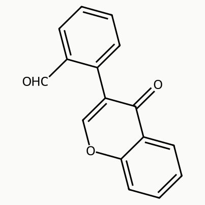 O=Cc1ccccc1-c1coc2ccccc2c1=O